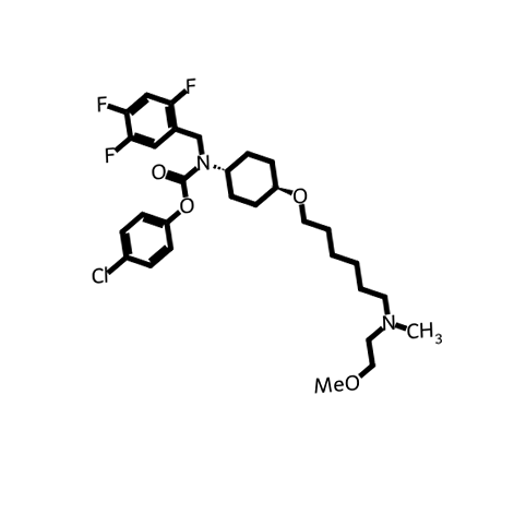 COCCN(C)CCCCCCO[C@H]1CC[C@H](N(Cc2cc(F)c(F)cc2F)C(=O)Oc2ccc(Cl)cc2)CC1